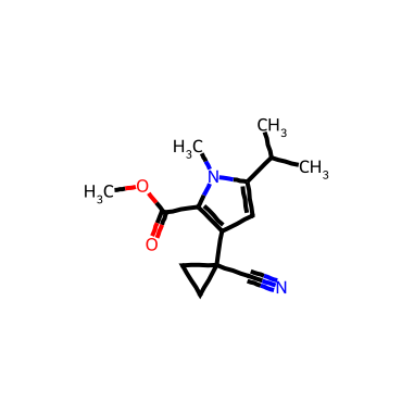 COC(=O)c1c(C2(C#N)CC2)cc(C(C)C)n1C